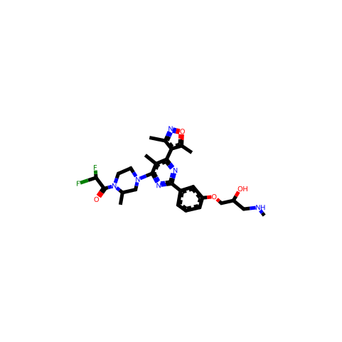 CNCC(O)COc1cccc(-c2nc(-c3c(C)noc3C)c(C)c(N3CCN(C(=O)C(F)F)C(C)C3)n2)c1